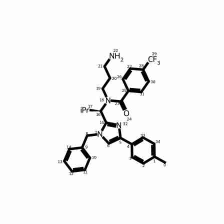 Cc1ccc(-c2cn(Cc3ccccc3)c([C@@H](C(C)C)N(CCCN)C(=O)c3ccc(C(F)(F)F)cc3)n2)cc1